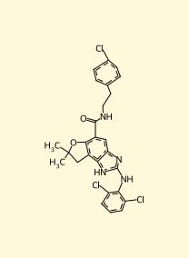 CC1(C)Cc2c(c(C(=O)NCCc3ccc(Cl)cc3)cc3nc(Nc4c(Cl)cccc4Cl)[nH]c23)O1